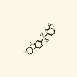 Cc1cccc(S(=O)(=O)c2ccc3c4c(oc3c2)CNCC4)n1